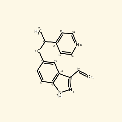 CC(Oc1ccc2[nH]nc(C=O)c2c1)c1ccncc1